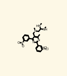 CNC(CN(C)Cc1c(C)nc(-c2ccccc2)nc1-c1cccc([N+](=O)[O-])c1)NC.Cl.Cl